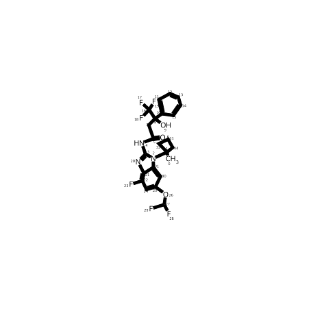 CC1(n2c(NC(=O)CC(O)(c3ccccc3)C(F)(F)F)nc3c(F)cc(OC(F)F)cc32)CCC1